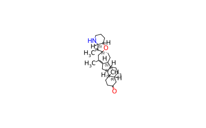 CC1=C2C[C@H]3[C@@H](CC[C@@H]4CC(=O)CC[C@@]43C)[C@@H]2CC[C@@]2(C1)O[C@@H]1CCCN[C@H]1[C@H]2C